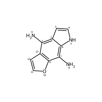 Nc1c2cc[nH]c2c(N)c2occc12